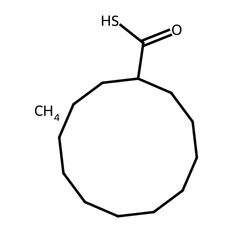 C.O=C(S)C1CCCCCCCCCCC1